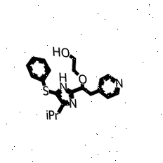 CC(C)c1nc(C(Cc2ccncc2)OCCO)[nH]c1Sc1ccccc1